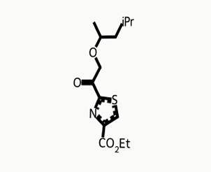 CCOC(=O)c1csc(C(=O)COC(C)CC(C)C)n1